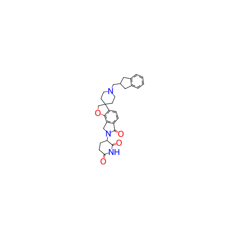 O=C1CCC(N2Cc3c(ccc4c3OCC43CCN(CC4Cc5ccccc5C4)CC3)C2=O)C(=O)N1